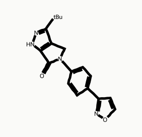 CC(C)(C)c1n[nH]c2c1CN(c1ccc(-c3ccon3)cc1)C2=O